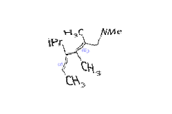 C/C=C(\C(C)=C(/C)CNC)C(C)C